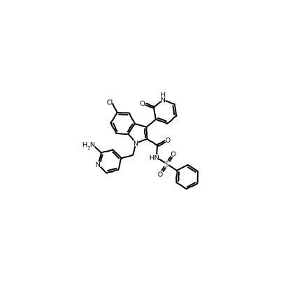 Nc1cc(Cn2c(C(=O)NS(=O)(=O)c3ccccc3)c(-c3ccc[nH]c3=O)c3cc(Cl)ccc32)ccn1